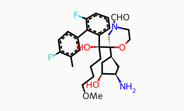 COCCCC[C@](O)(c1cccc(F)c1-c1ccc(F)c(C)c1)[C@@]1([C@H]2C[C@@H](N)[C@@H](O)C2)CN(C=O)CCO1